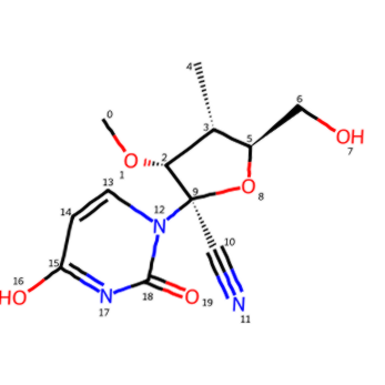 CO[C@@H]1[C@H](C)[C@@H](CO)O[C@@]1(C#N)n1ccc(O)nc1=O